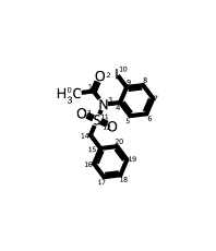 CC(=O)N(c1ccccc1I)S(=O)(=O)Cc1ccccc1